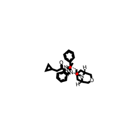 Cc1nc2ccccc2n1[C@H]1C[C@H]2COC[C@@H](C1)N2CC[C@H](NC(=O)CC1CC1)c1ccccc1